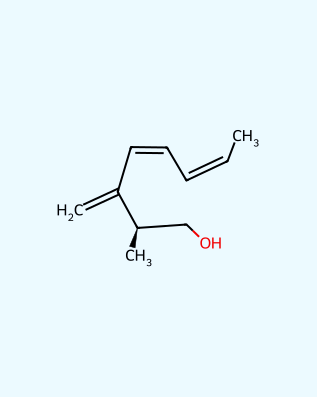 C=C(/C=C\C=C/C)[C@H](C)CO